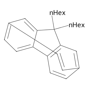 CCCCCCC1(CCCCCC)c2cc3ccc2-c2ccc(cc21)/C=C/3